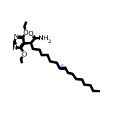 CCCCCCCC/C=C/CCCCCCC(C(N)=O)c1c(OCC)ncnc1OCC